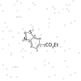 CCOC(=O)c1ccc2n[c]sc2c1